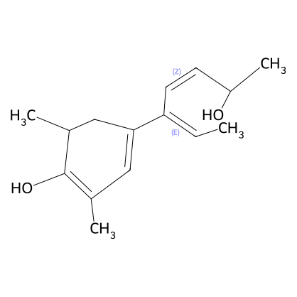 C/C=C(\C=C/C(C)O)C1=CC(C)=C(O)C(C)C1